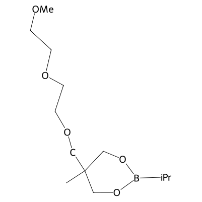 COCCOCCOCC1(C)COB(C(C)C)OC1